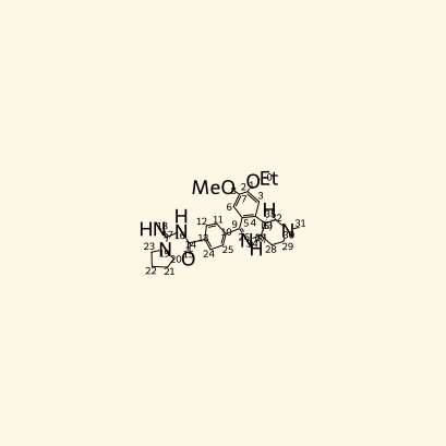 CCOc1cc2c(cc1OC)C(c1ccc(C(=O)NC(=N)N3CCCC3)cc1)=N[C@@H]1CCN(C)C[C@H]21